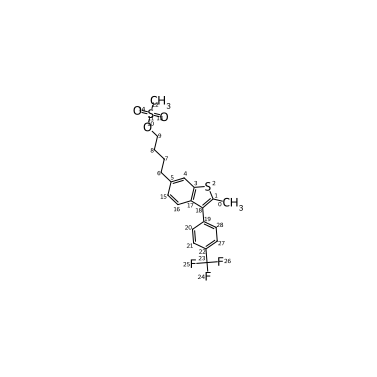 Cc1sc2cc(CCCCOS(C)(=O)=O)ccc2c1-c1ccc(C(F)(F)F)cc1